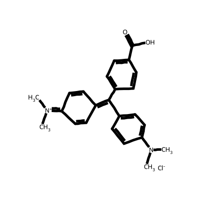 CN(C)c1ccc(C(=C2C=CC(=[N+](C)C)C=C2)c2ccc(C(=O)O)cc2)cc1.[Cl-]